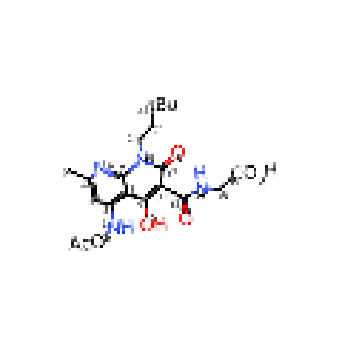 CC(=O)ONc1cc(C)nc2c1c(O)c(C(=O)NCC(=O)O)c(=O)n2CCC(C)(C)C